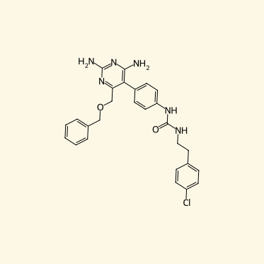 Nc1nc(N)c(-c2ccc(NC(=O)NCCc3ccc(Cl)cc3)cc2)c(COCc2ccccc2)n1